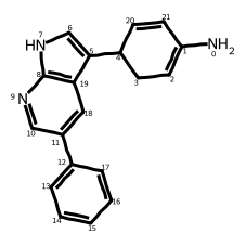 NC1=CCC(c2c[nH]c3ncc(-c4ccccc4)cc23)C=C1